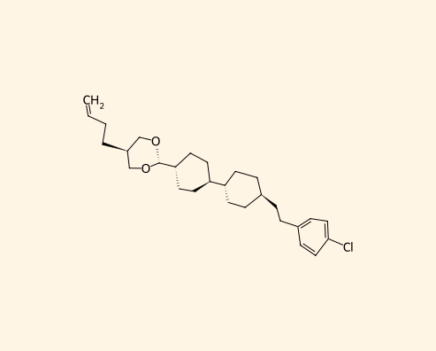 C=CCC[C@H]1CO[C@H]([C@H]2CC[C@H]([C@H]3CC[C@H](CCc4ccc(Cl)cc4)CC3)CC2)OC1